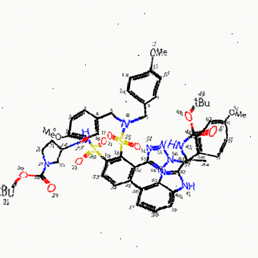 COc1ccc(CN(Cc2ccc(OC)cc2)S(=O)(=O)c2c(S(=O)(=O)NC3CCN(C(=O)OC(C)(C)C)C3)ccc(-c3cccc4[nH]c([C@H](C)NC(=O)OC(C)(C)C)nc34)c2-c2nnn(Cc3ccc(OC)cc3)n2)cc1